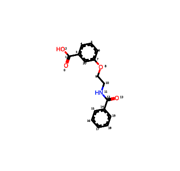 O=C(O)c1cccc(OCCNC(=O)c2ccccc2)c1